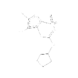 Cc1c(Cl)sc2c1NC(NC1CCCC1)=NS2(=O)=O